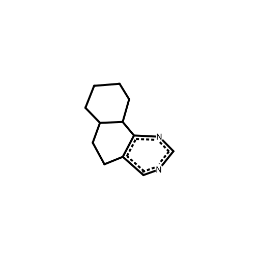 c1ncc2c(n1)C1CCCCC1CC2